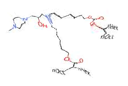 CCCCCCCCC(CCCCCC)OC(=O)OCCCCCCN(CCCCCCOC(=O)C(CCCCCC)CCCCCCCC)CC(O)CN1CCN(C)CC1